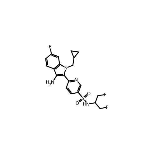 Nc1c(-c2ccc(S(=O)(=O)NC(CF)CF)cn2)n(CC2CC2)c2cc(F)ccc12